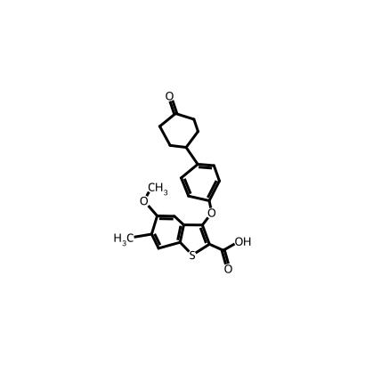 COc1cc2c(Oc3ccc(C4CCC(=O)CC4)cc3)c(C(=O)O)sc2cc1C